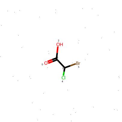 O=C(O)C(Cl)Br